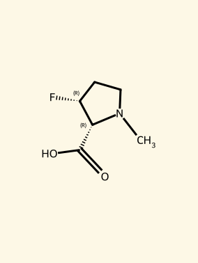 CN1CC[C@@H](F)[C@H]1C(=O)O